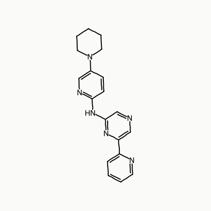 c1ccc(-c2cncc(Nc3ccc(N4CCCCC4)cn3)n2)nc1